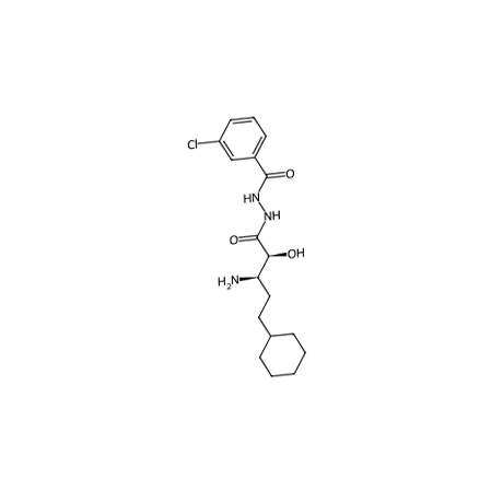 N[C@H](CCC1CCCCC1)[C@H](O)C(=O)NNC(=O)c1cccc(Cl)c1